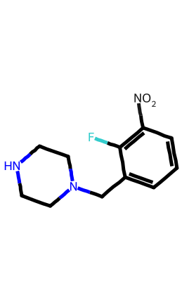 O=[N+]([O-])c1cccc(CN2CCNCC2)c1F